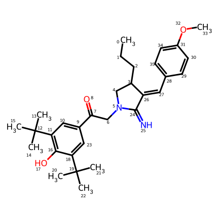 CCCC1CN(CC(=O)c2cc(C(C)(C)C)c(O)c(C(C)(C)C)c2)C(=N)/C1=C/c1ccc(OC)cc1